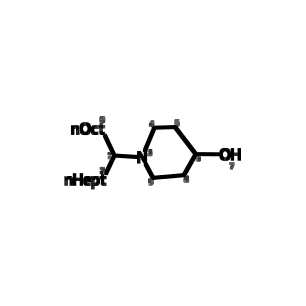 CCCCCCCCC(CCCCCCC)N1CCC(O)CC1